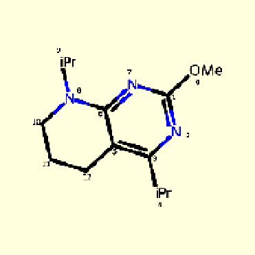 COc1nc(C(C)C)c2c(n1)N(C(C)C)CCC2